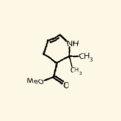 COC(=O)C1CC=CNC1(C)C